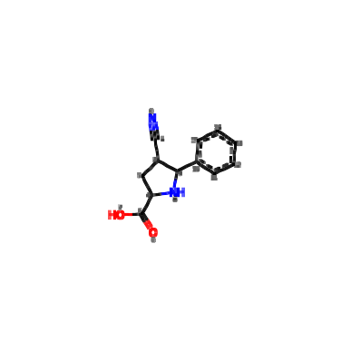 N#CC1CC(C(=O)O)NC1c1ccccc1